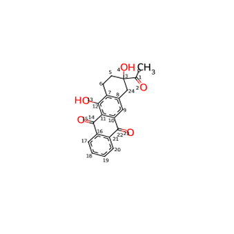 CC(=O)C1(O)CCc2c(cc3c(c2O)C(=O)c2ccccc2C3=O)C1